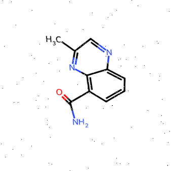 Cc1cnc2cccc(C(N)=O)c2n1